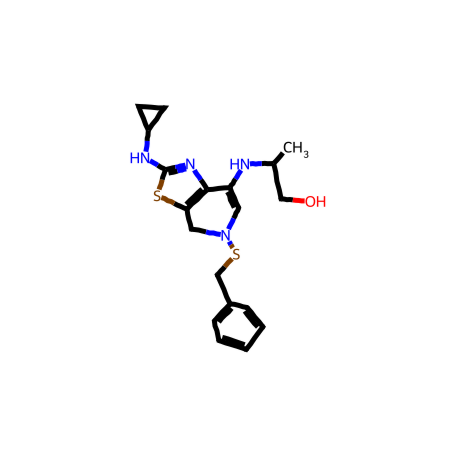 CC(CO)NC1=CN(SCc2ccccc2)Cc2sc(NC3CC3)nc21